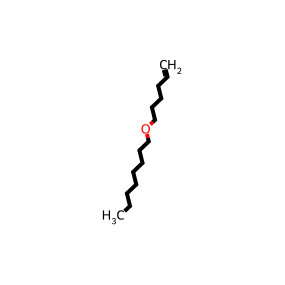 C=CCCCCOCCCCCCCC